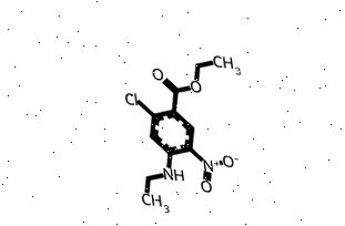 CCNc1cc(Cl)c(C(=O)OCC)cc1[N+](=O)[O-]